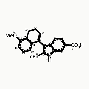 CCCCc1[nH]c2cc(C(=O)O)ccc2c1C1=CCCc2c(OC)cccc21